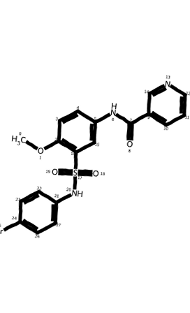 COc1ccc(NC(=O)c2cccnc2)cc1S(=O)(=O)Nc1ccc(Br)cc1